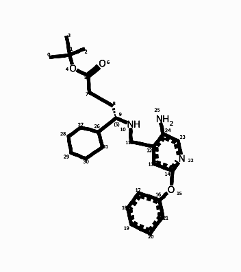 CC(C)(C)OC(=O)CC[C@H](NCc1cc(Oc2ccccc2)ncc1N)C1CCCCC1